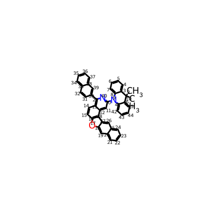 CC1(C)c2ccccc2N(c2cc3c(ccc4oc5cc6ccccc6cc5c43)c(-c3ccc4ccccc4c3)n2)c2ccccc21